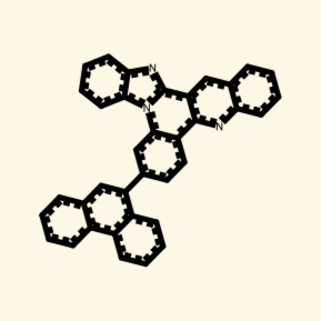 c1ccc2nc3c4ccc(-c5cc6ccccc6c6ccccc56)cc4n4c5ccccc5nc4c3cc2c1